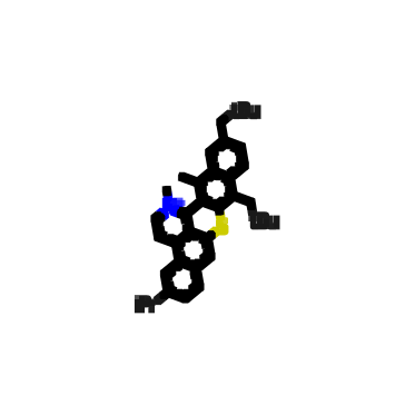 Cc1c2c(c(CC(C)(C)C)c3ccc(CC(C)(C)C)cc13)Sc1cc3ccc(C(C)C)cc3c3cc[n+](C)c-2c13